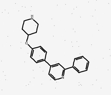 c1ccc(-c2cc(-c3ccc(OC4CCNCC4)cc3)ccn2)cc1